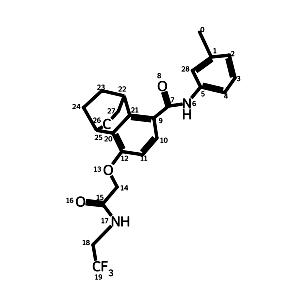 Cc1cccc(NC(=O)c2ccc(OCC(=O)NCC(F)(F)F)c3c2C2CCC3CC2)c1